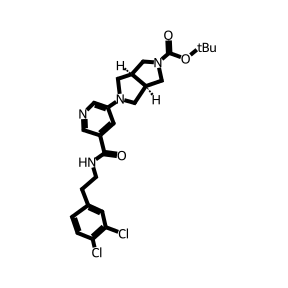 CC(C)(C)OC(=O)N1C[C@@H]2CN(c3cncc(C(=O)NCCc4ccc(Cl)c(Cl)c4)c3)C[C@@H]2C1